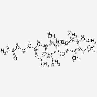 CCc1c(C)c(Oc2c(C)c(C)c(OC(=O)OCOC(C)=O)c(CC)c2C)c(C)c(C)c1OC